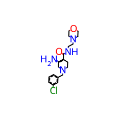 NC1=C(C(=O)NCCN2CCOCC2)CCN(Cc2cccc(Cl)c2)C1